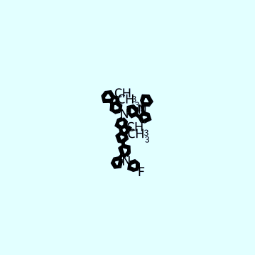 CC1(C)c2ccccc2-c2ccc(N(c3ccc4c(c3)C(C)(C)c3cc(-c5ccc6c(c5)c5ccccc5n6-c5ccc(F)cc5)ccc3-4)c3ccc4c(c3)c3ccccc3n4-c3ccccc3)cc21